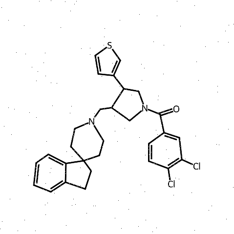 O=C(c1ccc(Cl)c(Cl)c1)N1CC(CN2CCC3(CCc4ccccc43)CC2)C(c2ccsc2)C1